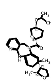 CC(C)O[C@H]1CC[C@H](C(=O)N2Cc3cccnc3NC3=CCC(C)([C@@H]4CCO[C@H]4C)C=C32)OC1